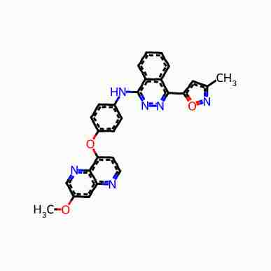 COc1cnc2c(Oc3ccc(Nc4nnc(-c5cc(C)no5)c5ccccc45)cc3)ccnc2c1